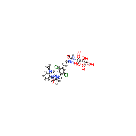 CN(C[C@H](O)[C@@H](O)[C@@H](O)[C@H](O)CO)C(=O)NCCCc1cc(Cl)c(CNC2(C(=O)N3CCN(C4CC4)c4ccccc43)CC2)cc1Cl